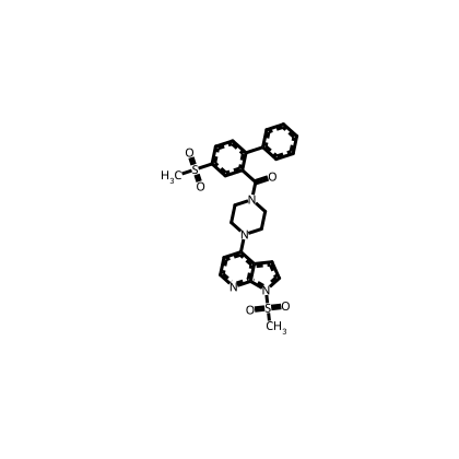 CS(=O)(=O)c1ccc(-c2ccccc2)c(C(=O)N2CCN(c3ccnc4c3ccn4S(C)(=O)=O)CC2)c1